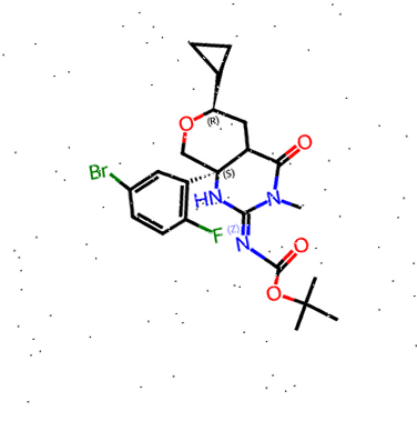 CN1C(=O)C2C[C@H](C3CC3)OC[C@]2(c2cc(Br)ccc2F)N/C1=N/C(=O)OC(C)(C)C